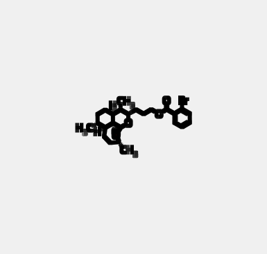 C[C@H]1[C@@H](CCCOC(=O)c2ccccc2Br)OC2O[C@]3(C)CC[C@H]4[C@H](C)CC[C@@H]1[C@@]24OO3